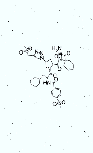 CS(=O)(=O)Cc1cn([C@H]2C[C@@H](C(=O)NC3(C(=O)C(N)=O)CCCCC3)N(C(=O)C(CC3CCCCC3)NC(=O)c3ccc(S(C)(=O)=O)cc3)C2)nn1